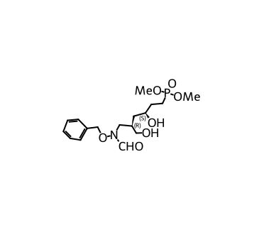 COP(=O)(CC[C@@H](O)C[C@@H](CO)CN(C=O)OCc1ccccc1)OC